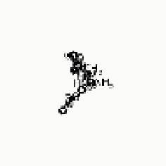 C[C@H](NC(=O)[C@@H]1CCCN1C(=O)CN1C(=O)C=CC1=O)C(=O)N[C@@H](CC(N)=O)C(=O)Nc1ccc(COCC(=O)OCc2ccccc2)cc1